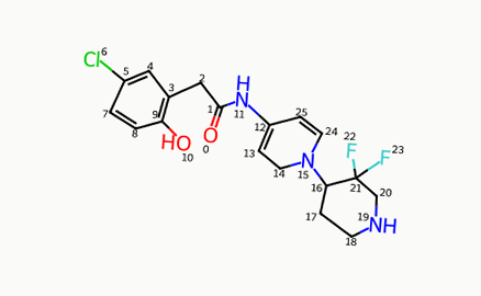 O=C(Cc1cc(Cl)ccc1O)NC1=CCN(C2CCNCC2(F)F)C=C1